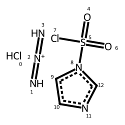 Cl.N=[N+]=N.O=S(=O)(Cl)n1ccnc1